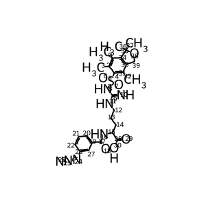 Cc1c(C)c(S(=O)(=O)NC(=N)NCCCC(NC(=O)c2cccc(N=[N+]=[N-])c2)C(=O)O)c(C)c2c1C(C)(C)OC2